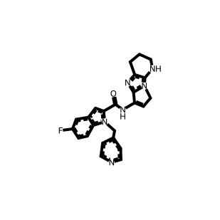 O=C(NC1=CCn2c1nc1c2NCCC1)c1cc2cc(F)ccc2n1Cc1ccncc1